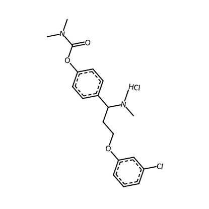 CN(C)C(=O)Oc1ccc(C(CCOc2cccc(Cl)c2)N(C)C)cc1.Cl